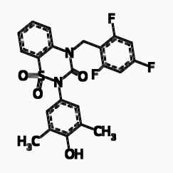 Cc1cc(N2C(=O)N(Cc3c(F)cc(F)cc3F)c3ccccc3S2(=O)=O)cc(C)c1O